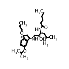 C=CCCCC(=O)N[C@@H](CC(C)C)[C@@H](O)CN[C@H]1C[C@@H](OCC=C)c2ccc(OC(C)C)cc21